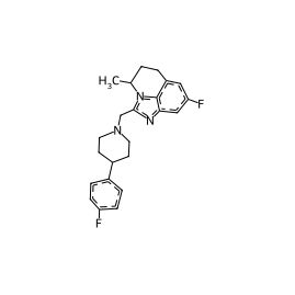 CC1CCc2cc(F)cc3nc(CN4CCC(c5ccc(F)cc5)CC4)n1c23